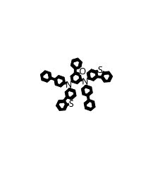 C1=C(N(c2ccc(-c3ccccc3)cc2)c2ccc3sc4ccccc4c3c2)c2oc3ccccc3c2CC1N(c1ccc(-c2ccccc2)cc1)c1ccc2sc3ccccc3c2c1